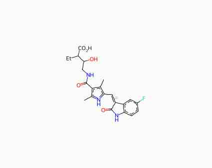 CCC(C(=O)O)C(O)CNC(=O)c1c(C)[nH]c(/C=C2\C(=O)Nc3ccc(F)cc32)c1C